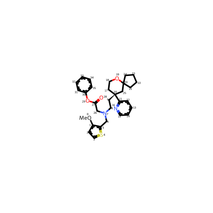 COc1ccsc1CN(CC[C@@]1(c2ccccn2)CCOC2(CCCC2)C1)CC(=O)Oc1ccccc1